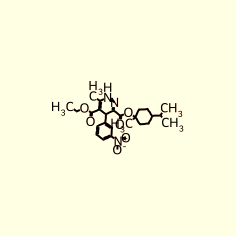 CCOC(=O)C1=C(C)NN=C(C(=O)OC2(C)CCC(C(C)C)CC2)C1c1cccc([N+](=O)[O-])c1